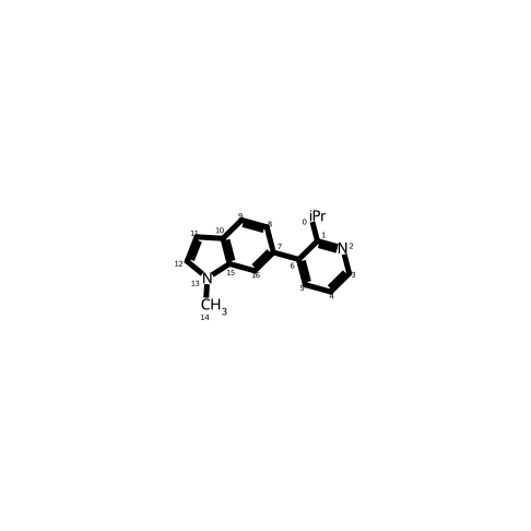 CC(C)c1ncccc1-c1ccc2ccn(C)c2c1